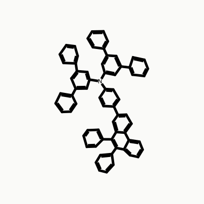 c1ccc(-c2cc(-c3ccccc3)cc(N(c3ccc(-c4ccc5c(c4)c(-c4ccccc4)c(-c4ccccc4)c4ccccc45)cc3)c3cc(-c4ccccc4)cc(-c4ccccc4)c3)c2)cc1